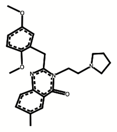 COc1ccc(OC)c(Cc2nc3ccc(C)cc3c(=O)n2CCN2CCCC2)c1